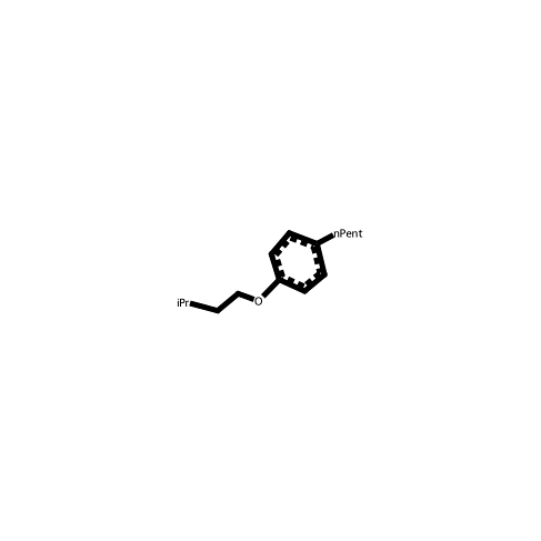 [CH2]CCCCc1ccc(OCCC(C)C)cc1